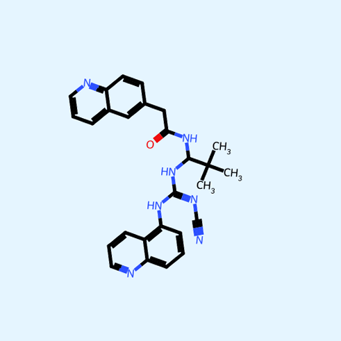 CC(C)(C)C(NC(=O)Cc1ccc2ncccc2c1)NC(=NC#N)Nc1cccc2ncccc12